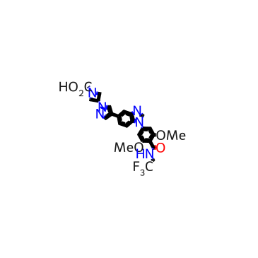 COc1cc(-n2cnc3cc(-c4cnn(C5CN(C(=O)O)C5)c4)ccc32)cc(OC)c1C(=O)NCC(F)(F)F